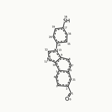 O=Cc1ccc2c(ccc3c2ncn3-c2ccc(S)cc2)c1